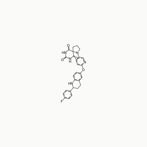 O=C1NC(=O)C2(CCCN2c2ccc(Oc3ccc4c(c3)CCC(c3ccc(F)cc3)N4)nc2)C(=O)N1